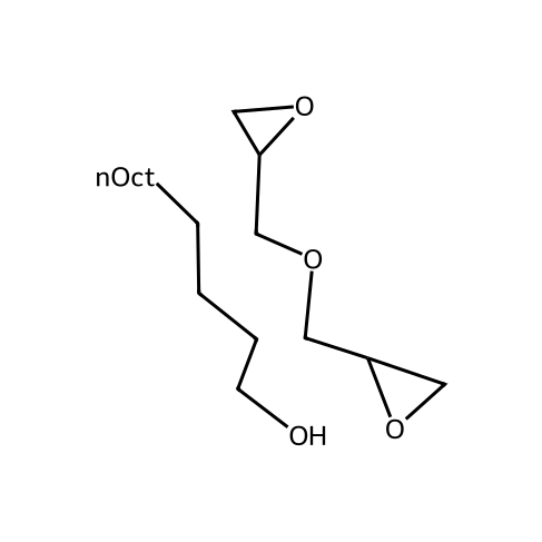 C(OCC1CO1)C1CO1.CCCCCCCCCCCCO